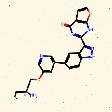 CC(C)C[C@H](N)COc1cncc(-c2ccc3[nH]nc(-c4nc(=O)c5ccoc5[nH]4)c3c2)c1